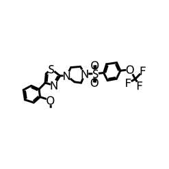 COc1ccccc1-c1csc(N2CCN(S(=O)(=O)c3ccc(OC(F)(F)F)cc3)CC2)n1